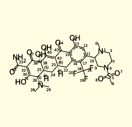 CN1CCN(S(C)(=O)=O)CC1c1cc(O)c2c(c1C(F)(F)F)C[C@H]1C[C@H]3[C@H](N(C)C)C(O)=C(C(N)=O)C(=O)[C@@]3(O)C(O)=C1C2=O